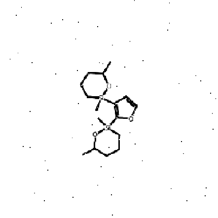 CC1CCC[Si](C)(c2ccoc2[Si]2(C)CCCC(C)O2)O1